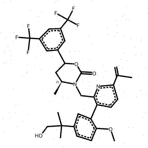 C=C(C)c1ccc(-c2cc(C(C)(C)CO)ccc2OC)c(CN2C(=O)OC(c3cc(C(F)(F)F)cc(C(F)(F)F)c3)C[C@@H]2C)n1